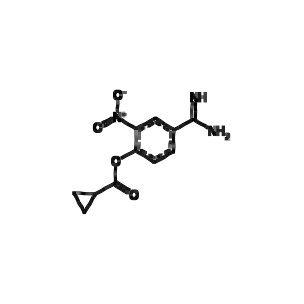 N=C(N)c1ccc(OC(=O)C2CC2)c([N+](=O)[O-])c1